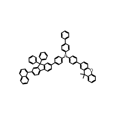 CC1(C)c2ccccc2Oc2ccc(-c3ccc(N(c4ccc(-c5ccccc5)cc4)c4ccc(-c5ccc6c(c5)C(c5ccccc5)(c5ccccc5)c5cc(-c7cccc8ccccc78)ccc5-6)cc4)cc3)cc21